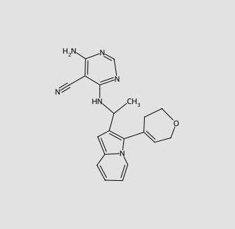 CC(Nc1ncnc(N)c1C#N)c1cc2ccccn2c1C1=CCOCC1